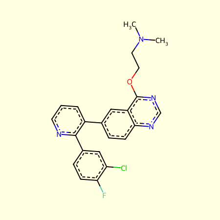 CN(C)CCOc1ncnc2ccc(-c3cccnc3-c3ccc(F)c(Cl)c3)cc12